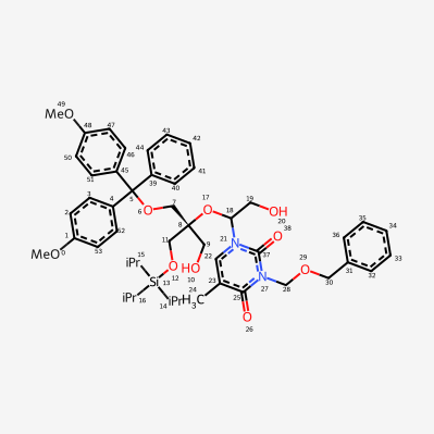 COc1ccc(C(OC[C@@](CO)(CO[Si](C(C)C)(C(C)C)C(C)C)OC(CO)n2cc(C)c(=O)n(COCc3ccccc3)c2=O)(c2ccccc2)c2ccc(OC)cc2)cc1